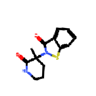 CC1(n2sc3ccccc3c2=O)CCCNC1=O